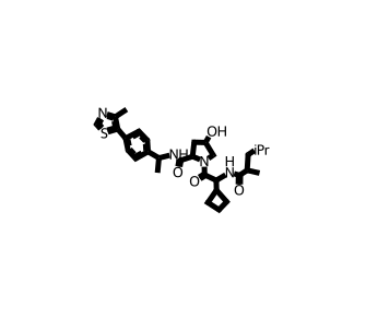 Cc1ncsc1-c1ccc(C(C)NC(=O)C2CC(O)CN2C(=O)C(NC(=O)C(C)CC(C)C)C2CCC2)cc1